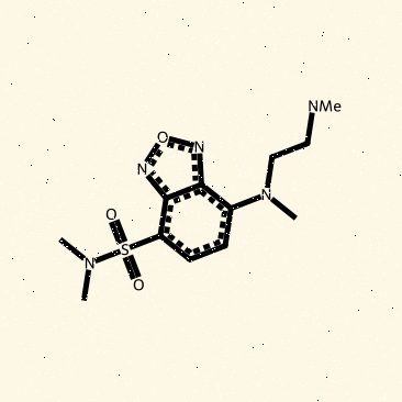 CNCCN(C)c1ccc(S(=O)(=O)N(C)C)c2nonc12